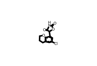 O=C1NC(=O)C(c2cc(Cl)cc3c2OCCC3)O1